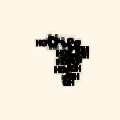 O=C(/C=C/c1ccc(O)cc1)C1=C(O)[C@@](O)(C(=O)[C@H](O)[C@@H](O)[C@H](O)[C@H](O)CO)C(=O)C(O)(O)C1=O